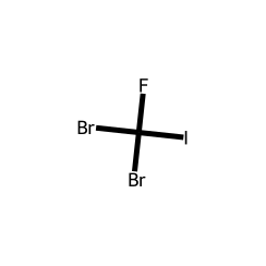 FC(Br)(Br)I